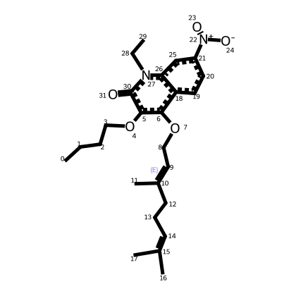 CCCCOc1c(OC/C=C(\C)CCC=C(C)C)c2ccc([N+](=O)[O-])cc2n(CC)c1=O